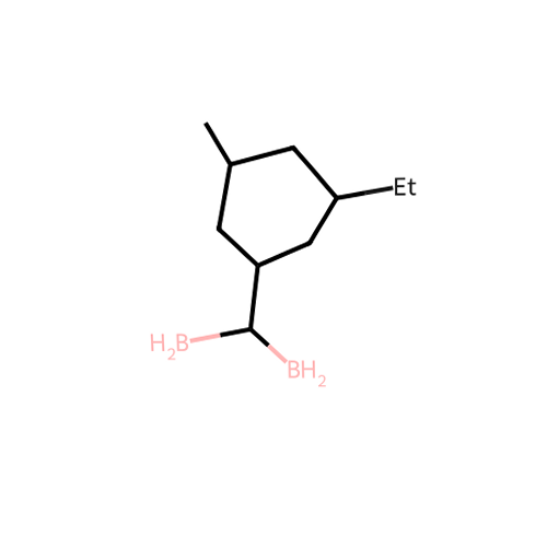 BC(B)C1CC(C)CC(CC)C1